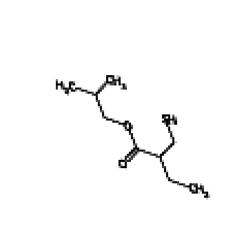 CCC(CS)C(=O)OCC(C)C